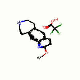 COc1ccc2cc3c(cc2n1)CCNCC3.O=C(O)C(F)(F)F